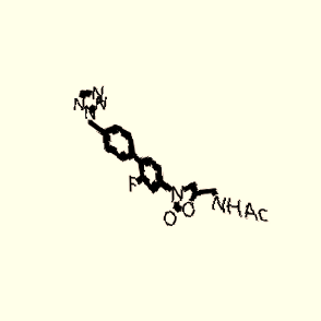 CC(=O)NCC1CN(c2ccc(-c3ccc(Cn4ncnn4)cc3)c(F)c2)C(=O)O1